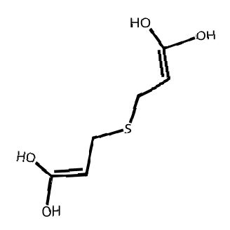 OC(O)=CCSCC=C(O)O